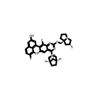 CCc1c(F)ccc2cc(O)cc(-c3c(F)cc4c(N5C[C@H]6CC[C@@H](C5)[C@H]6C#N)nc(OC[C@@]56CCCN5C[C@H](F)C6)nc4c3F)c12